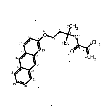 C=C(C)C(=O)OC(C)(CC)CCOc1ccc2cc3ccccc3cc2c1